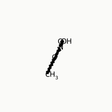 CCCCCCCCCC=COCC=CC=CC=NC=CC(=O)O